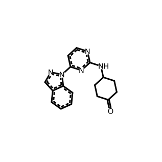 O=C1CCC(Nc2nccc(-n3ncc4ccccc43)n2)CC1